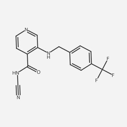 N#CNC(=O)c1ccncc1NCc1ccc(C(F)(F)F)cc1